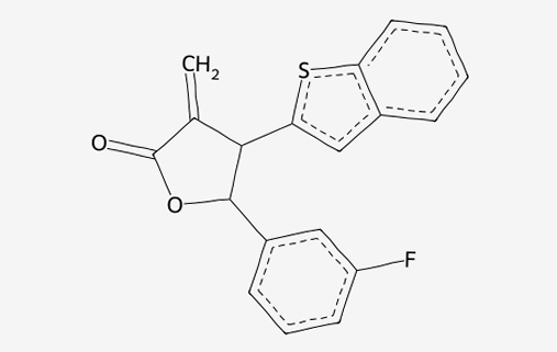 C=C1C(=O)OC(c2cccc(F)c2)C1c1cc2ccccc2s1